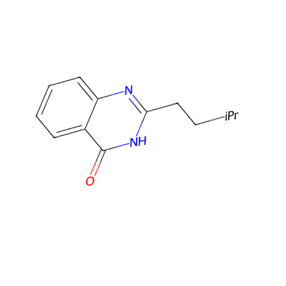 CC(C)CCc1nc2ccccc2c(=O)[nH]1